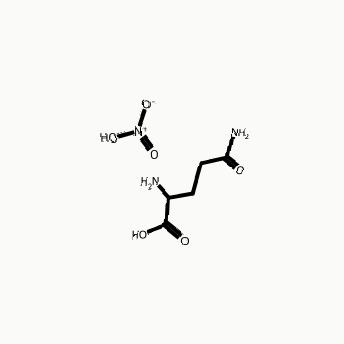 NC(=O)CCC(N)C(=O)O.O=[N+]([O-])O